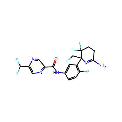 NC1=NC(CF)(c2cc(NC(=O)c3cnc(C(F)F)cn3)ccc2F)C(F)(F)CC1